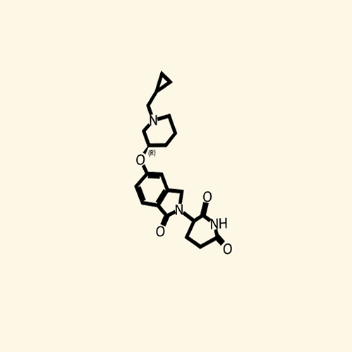 O=C1CCC(N2Cc3cc(O[C@@H]4CCCN(CC5CC5)C4)ccc3C2=O)C(=O)N1